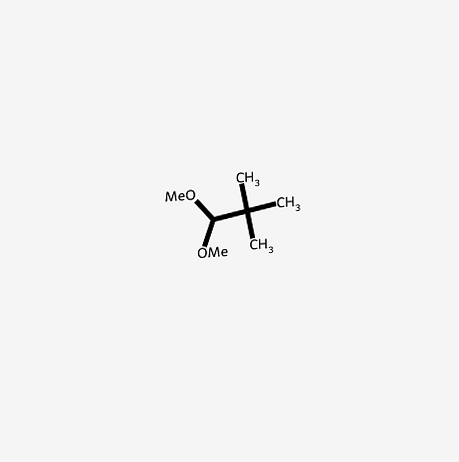 COC(OC)C(C)(C)C